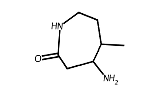 CC1CCNC(=O)CC1N